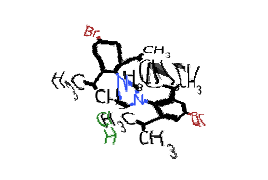 CC(C)c1cc(Br)cc(C(C)C)c1N1C=CN(c2c(C(C)C)cc(Br)cc2C(C)C)C1.Cl